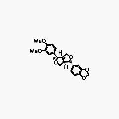 COc1ccc([C@@H]2OC[C@H]3[C@@H]2CO[C@@H]3c2ccc3c(c2)OCO3)cc1OC